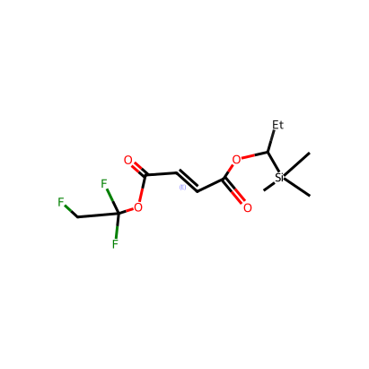 CCC(OC(=O)/C=C/C(=O)OC(F)(F)CF)[Si](C)(C)C